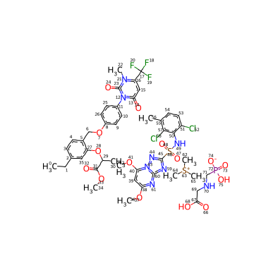 CCc1ccc(COc2ccc(-n3c(=O)cc(C(F)(F)F)n(C)c3=O)cc2)c(OC(C)C(=O)OC)c1.COc1cc(OC)n2nc(S(=O)(=O)Nc3c(Cl)ccc(C)c3Cl)nc2n1.C[S+](C)C.O=C(O)CNCP(=O)([O-])O